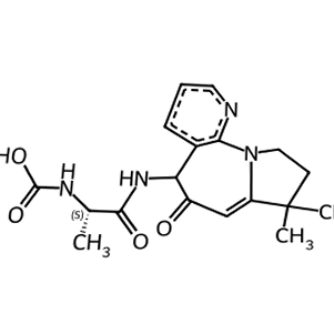 C[C@H](NC(=O)O)C(=O)NC1C(=O)C=C2N(CCC2(C)C)c2ncccc21